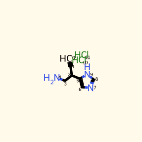 C#CC(CN)c1cnc[nH]1.Cl.Cl